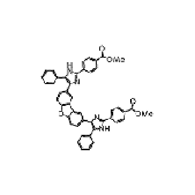 COC(=O)c1ccc(-c2nc(-c3ccc4oc5ccc(-c6nc(-c7ccc(C(=O)OC)cc7)[nH]c6-c6ccccc6)cc5c4c3)c(-c3ccccc3)[nH]2)cc1